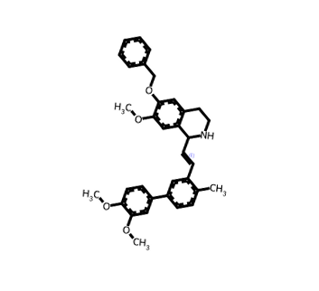 COc1ccc(-c2ccc(C)c(/C=C/C3NCCc4cc(OCc5ccccc5)c(OC)cc43)c2)cc1OC